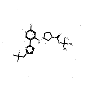 CC(C)(C)OC(=O)N1CC[C@@H](Nc2cc(Cl)ncc2-c2ccn(CC(F)(F)F)n2)C1